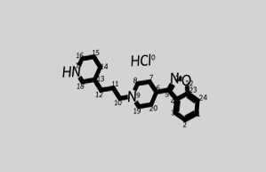 Cl.c1ccc2c(C3CCN(CCCC4CCCNC4)CC3)noc2c1